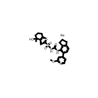 COc1cc(-c2ccc3c(c2NC(=O)NS(=O)(=O)c2cc4c(s2)CCCC4(C)O)CCC3)ccn1.[Na]